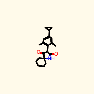 Cc1cc(C2CC2)cc(C)c1C1C(=O)NC2(CCCCC2)C1=O